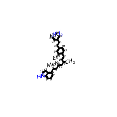 C=C(/C=C(/C=C/c1cccc2[nH]ccc12)NC)/C=C/c1ccc(CCC(/C=C\N)=C/C)cc1CC